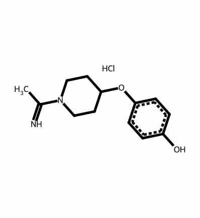 CC(=N)N1CCC(Oc2ccc(O)cc2)CC1.Cl